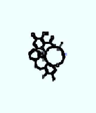 C[C@@H]1/C=C\COc2cc(F)c(F)c3c2[C@H](c2ccccc2SC3)N2CN1C(=O)c1c(O)c(=O)ccn12